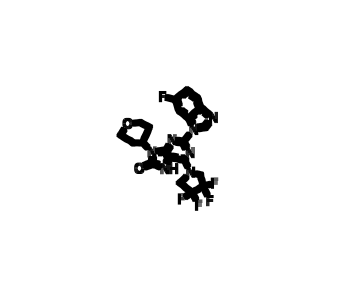 O=c1[nH]c2c(N3CC(F)(F)C(F)(F)C3)nc(-n3cnc4ccc(F)cc43)nc2n1C1CCOCC1